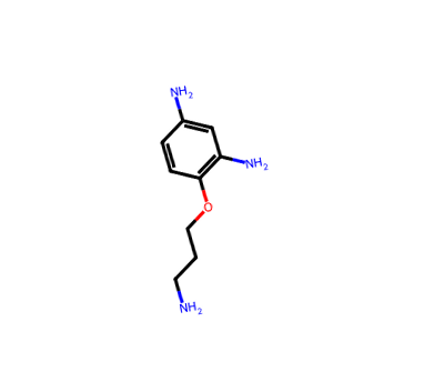 NCCCOc1ccc(N)cc1N